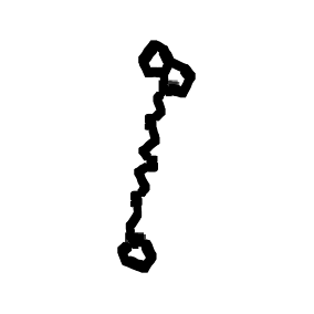 c1cc[n+](CCSCCSCCSCC[n+]2cccc3ccccc32)cc1